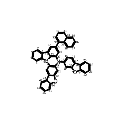 c1ccc2c(c1)B1c3cc4c(cc3N(c3ccc5c(c3)oc3ccccc35)c3cc(-c5cccc6ccccc56)cc-2c31)oc1ccccc14